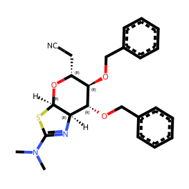 CN(C)C1=N[C@@H]2[C@@H](OCc3ccccc3)[C@H](OCc3ccccc3)[C@@H](CC#N)O[C@@H]2S1